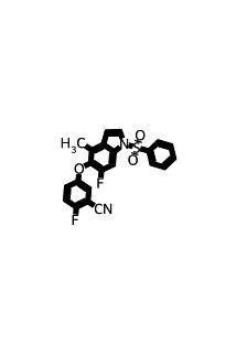 Cc1c(Oc2ccc(F)c(C#N)c2)c(F)cc2c1ccn2S(=O)(=O)c1ccccc1